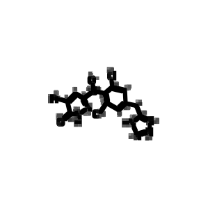 CC(C)c1cc([S+]([O-])c2c(Cl)cc(Cc3nnn[nH]3)cc2Cl)n[nH]c1=O